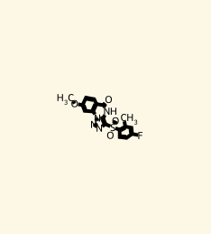 COc1ccc2c(=O)[nH]c3c(S(=O)(=O)c4ccc(F)cc4C)nnn3c2c1